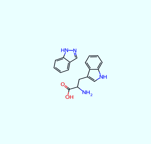 NC(Cc1c[nH]c2ccccc12)C(=O)O.c1ccc2[nH]ncc2c1